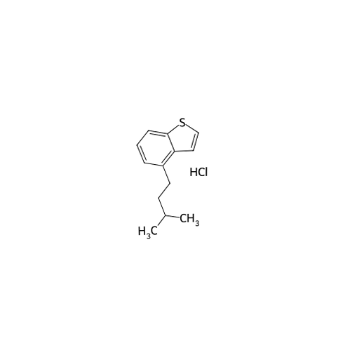 CC(C)CCc1cccc2sccc12.Cl